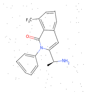 C[C@H](N)c1cc2cccc(C(F)(F)F)c2c(=O)n1-c1ccccc1